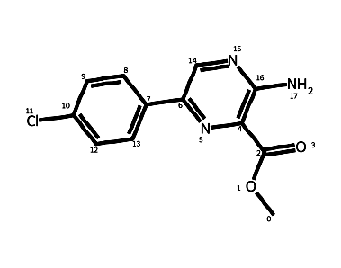 COC(=O)c1nc(-c2ccc(Cl)cc2)cnc1N